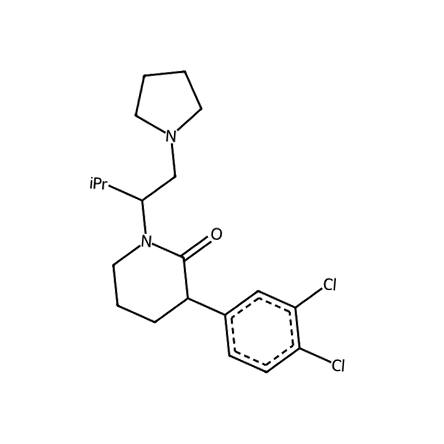 CC(C)C(CN1CCCC1)N1CCCC(c2ccc(Cl)c(Cl)c2)C1=O